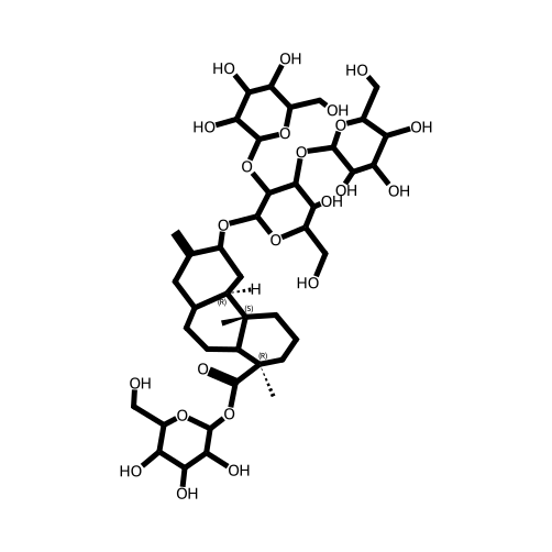 C=C1CC2CCC3[C@](C)(C(=O)OC4OC(CO)C(O)C(O)C4O)CCC[C@@]3(C)[C@@H]2CC1OC1OC(CO)C(O)C(OC2OC(CO)C(O)C(O)C2O)C1OC1OC(CO)C(O)C(O)C1O